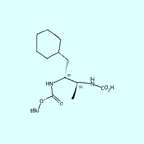 C[C@H](NC(=O)O)[C@@H](CC1CCCCC1)NC(=O)OC(C)(C)C